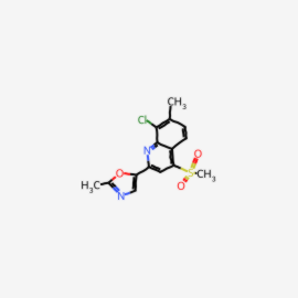 Cc1ncc(-c2cc(S(C)(=O)=O)c3ccc(C)c(Cl)c3n2)o1